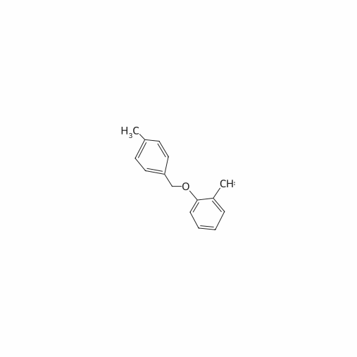 [CH]c1ccccc1OCc1ccc(C)cc1